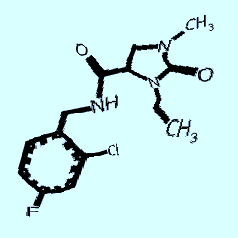 CCN1C(=O)N(C)CC1C(=O)NCc1ccc(F)cc1Cl